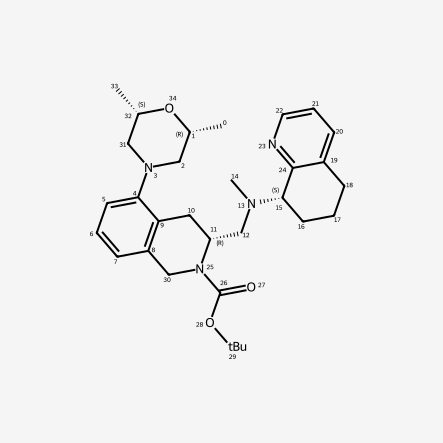 C[C@@H]1CN(c2cccc3c2C[C@H](CN(C)[C@H]2CCCc4cccnc42)N(C(=O)OC(C)(C)C)C3)C[C@H](C)O1